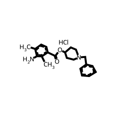 Cc1ccc(C(=O)OC2CCN(Cc3ccccc3)CC2)c(C)c1N.Cl